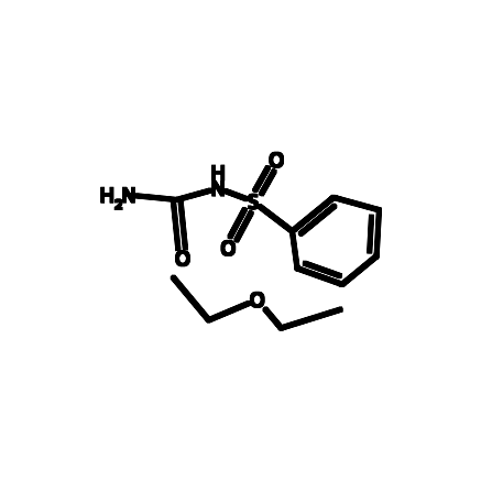 CCOCC.NC(=O)NS(=O)(=O)c1ccccc1